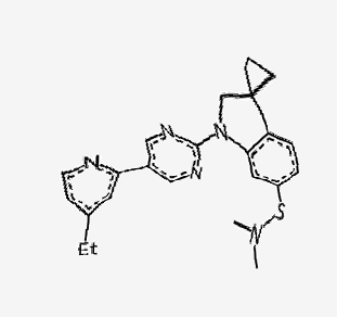 CCc1ccnc(-c2cnc(N3CC4(CC4)c4ccc(SN(C)C)cc43)nc2)c1